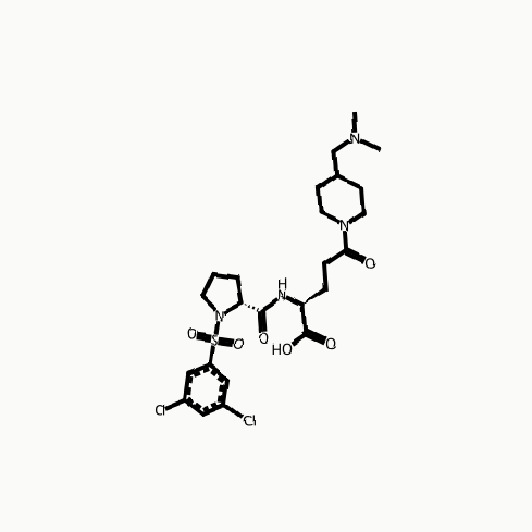 CN(C)CC1CCN(C(=O)CC[C@H](NC(=O)[C@H]2CCCN2S(=O)(=O)c2cc(Cl)cc(Cl)c2)C(=O)O)CC1